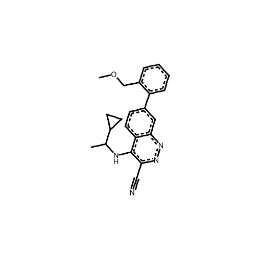 COCc1ccccc1-c1ccc2c(NC(C)C3CC3)c(C#N)nnc2c1